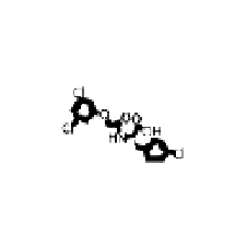 O=C(COc1cc(Cl)cc(Cl)c1)N[C@@H](Cc1ccc(Cl)cc1)C(=O)O